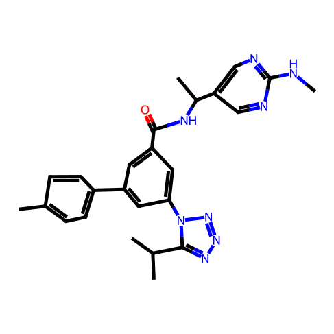 CNc1ncc(C(C)NC(=O)c2cc(-c3ccc(C)cc3)cc(-n3nnnc3C(C)C)c2)cn1